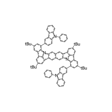 CC(C)(C)c1cc(-c2ccc3c(c2)c2ccccc2n3-c2ccccc2)c2c(c1)c1cc(C(C)(C)C)cc3c4cc5cc6c(cc5cc4n2c31)c1cc(C(C)(C)C)cc2c3cc(C(C)(C)C)cc(-c4ccc5c(c4)c4ccccc4n5-c4ccccc4)c3n6c12